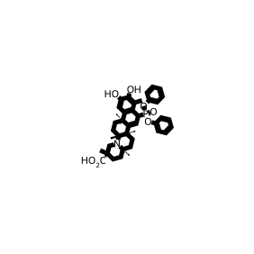 Cc1c(O)c(O)cc2c1C(P(=O)(Oc1ccccc1)Oc1ccccc1)C=C1[C@@]2(C)CC[C@@]2(C)N3C[C@](C)(C(=O)O)CC[C@]3(C)CC[C@]12C